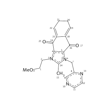 COCCn1c2c([n+](Cc3cnccn3)c1C)C(=O)C1=CCCC=C1C2=O